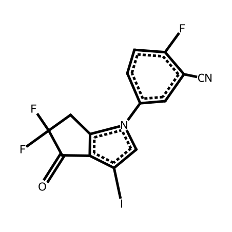 N#Cc1cc(-n2cc(I)c3c2CC(F)(F)C3=O)ccc1F